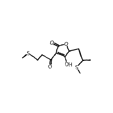 CSCCC(=O)C1=C(O)C(CC(C)SC)OC1=O